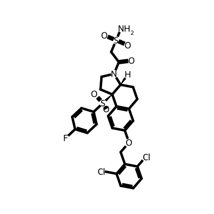 NS(=O)(=O)CC(=O)N1CC[C@@]2(S(=O)(=O)c3ccc(F)cc3)c3ccc(OCc4c(Cl)cccc4Cl)cc3CC[C@@H]12